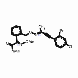 CNC(=O)/C(=N/OC)c1ccccc1CO/N=C(\C)C#Cc1ccc(Cl)cc1C(C)C